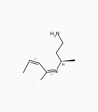 C/C=C\C(C)=N/[C@H](C)CCN